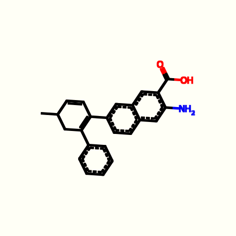 CC1C=CC(c2ccc3cc(N)c(C(=O)O)cc3c2)=C(c2ccccc2)C1